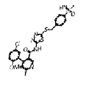 COc1ccc(Cl)cc1-c1cc(C)ncc1C(=O)Nc1nnc(SCc2ccc([S@](C)(=N)=O)cc2)s1